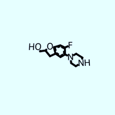 OCC1Cc2cc(N3CCNCC3)c(F)cc2O1